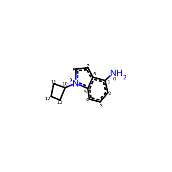 Nc1cccc2c1ccn2C1CCC1